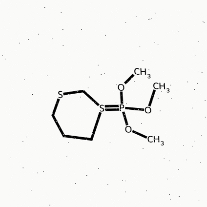 COP(OC)(OC)=S1CCCSC1